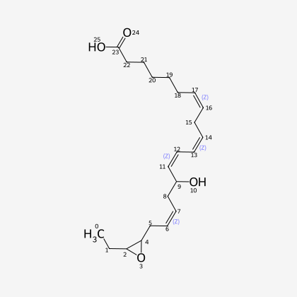 CCC1OC1C/C=C\CC(O)/C=C\C=C/C/C=C\CCCCCC(=O)O